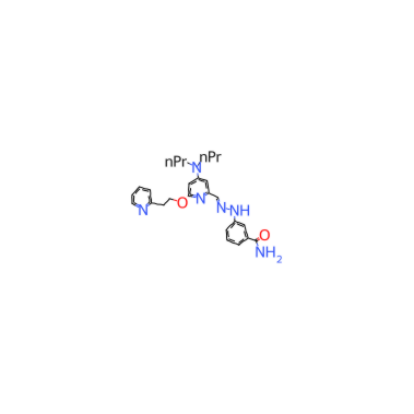 CCCN(CCC)c1cc(/C=N/Nc2cccc(C(N)=O)c2)nc(OCCc2ccccn2)c1